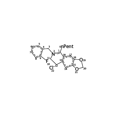 CCCCCC1=[N+](Cc2ccccc2F)CCc2cc3c(cc21)OCO3.[Cl-]